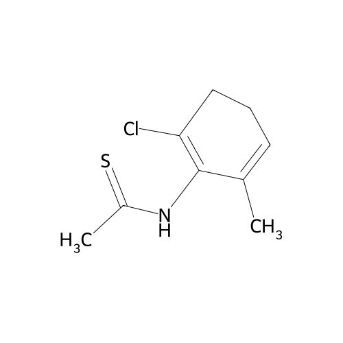 CC(=S)NC1=C(Cl)CCC=C1C